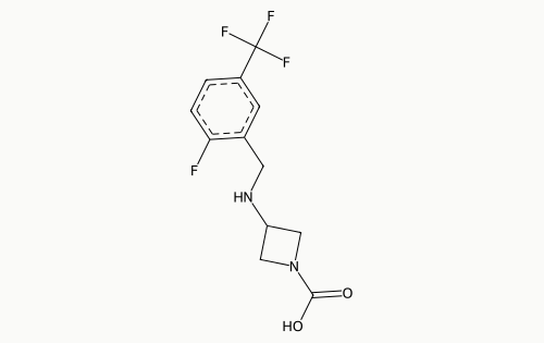 O=C(O)N1CC(NCc2cc(C(F)(F)F)ccc2F)C1